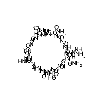 CCCC[C@H]1C(=O)N(C)[C@@H](CCCC)C(=O)N[C@@H](CCCNC(=N)N)C(=O)N[C@H](C(=O)NCC(N)=O)CSCC(=O)N[C@@H](Cc2ccc(O)cc2)C(=O)N(C)[C@@H](C)C(=O)N[C@@H](CC(N)=O)C(=O)N2CCC[C@H]2C(=O)N[C@@H](Cc2c[nH]cn2)C(=O)N[C@@H](C)C(=O)N[C@@H](CC(C)C)C(=O)N2CCC[C@H]2C(=O)N[C@@H](Cc2c[nH]c3ccccc23)C(=O)N[C@@H](CO)C(=O)N[C@@H](Cc2c[nH]c3ccccc23)C(=O)N1C